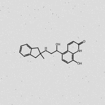 CC1(NCC(O)c2ccc(O)c3[nH]c(=O)ccc23)Cc2ccccc2C1